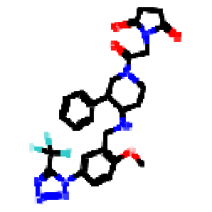 COc1ccc(-n2nnnc2C(F)(F)F)cc1CNC1CCN(C(=O)CN2C(=O)CCC2=O)CC1c1ccccc1